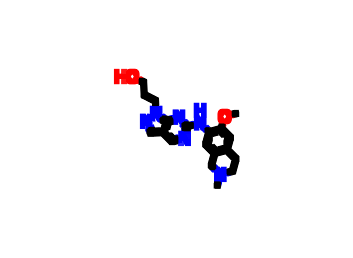 COc1cc2c(cc1Nc1ncc3cnn(CCCO)c3n1)CN(C)CC2